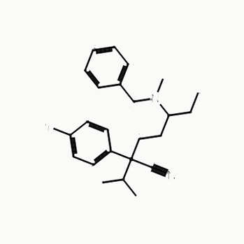 CCC(CCC(C#N)(c1ccc(Br)cc1)C(C)C)N(C)Cc1ccccc1